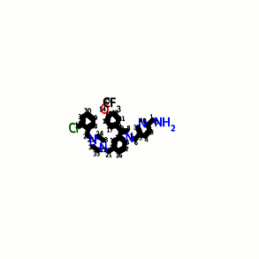 NCc1ccc(Cn2cc(-c3ccc(OC(F)(F)F)cc3)c3cc(CN4CCN(Cc5ccccc5Cl)CC4)ccc32)cn1